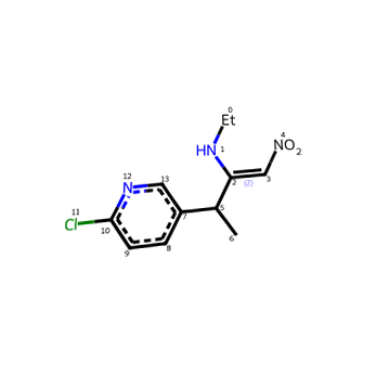 CCN/C(=C\[N+](=O)[O-])C(C)c1ccc(Cl)nc1